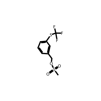 CS(=O)(=O)OCc1cccc(SC(F)(F)F)c1